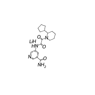 NC(=O)c1cncc(NC(=O)C(=O)N2CCCCC2C2CCCC2)c1.[LiH]